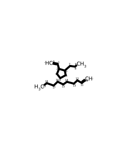 [CH]=CC1CCCC1CCC.[CH]=CCCCCCCCC